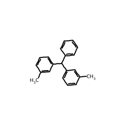 Cc1cccc([C](c2ccccc2)c2cccc(C)c2)c1